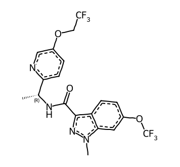 C[C@@H](NC(=O)c1nn(C)c2cc(OC(F)(F)F)ccc12)c1ccc(OCC(F)(F)F)cn1